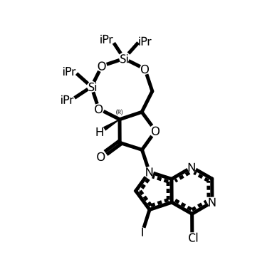 CC(C)[Si]1(C(C)C)OCC2OC(n3cc(I)c4c(Cl)ncnc43)C(=O)[C@@H]2O[Si](C(C)C)(C(C)C)O1